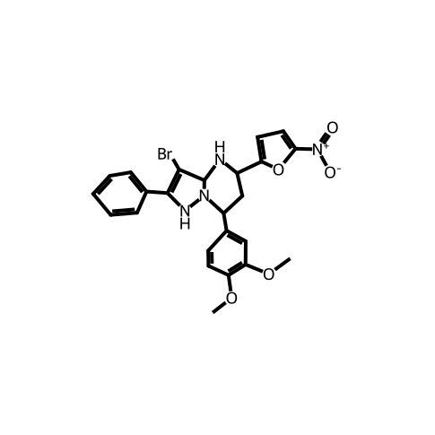 COc1ccc(C2CC(c3ccc([N+](=O)[O-])o3)NC3C(Br)=C(c4ccccc4)NN32)cc1OC